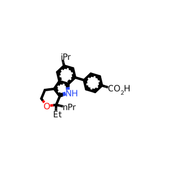 CCCC1(CC)OCCc2c1[nH]c1c(-c3ccc(C(=O)O)cc3)cc(C(C)C)cc21